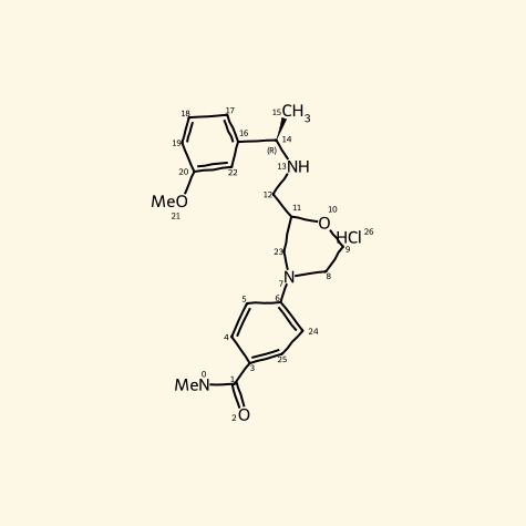 CNC(=O)c1ccc(N2CCOC(CN[C@H](C)c3cccc(OC)c3)C2)cc1.Cl